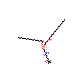 CCCCCCCCCCCCCCCC(=O)OCC(COP(=O)(O)OCCNC(=O)CCCC(=O)C(C)(C)C)OC(=O)CCCCCCCCCCCCCCC